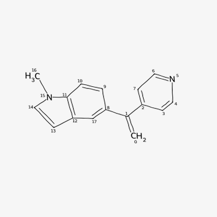 C=C(c1ccncc1)c1ccc2c(ccn2C)c1